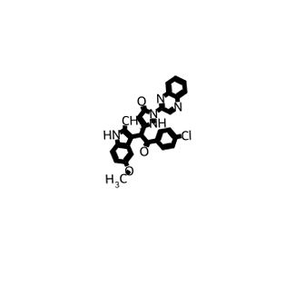 COc1ccc2[nH]c(C)c(C(C(=O)c3ccc(Cl)cc3)c3cc(=O)n(-c4cnc5ccccc5n4)[nH]3)c2c1